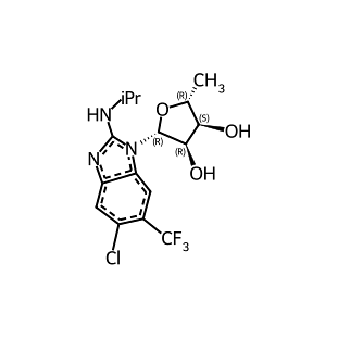 CC(C)Nc1nc2cc(Cl)c(C(F)(F)F)cc2n1[C@@H]1O[C@H](C)[C@@H](O)[C@H]1O